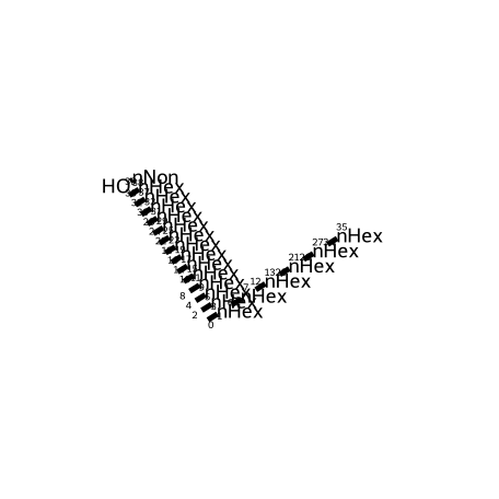 CCCCCCC.CCCCCCC.CCCCCCC.CCCCCCC.CCCCCCC.CCCCCCC.CCCCCCC.CCCCCCC.CCCCCCC.CCCCCCC.CCCCCCC.CCCCCCC.CCCCCCC.CCCCCCC.CCCCCCC.CCCCCCC.CCCCCCC.CCCCCCC.CCCCCCC.CCCCCCCCCO